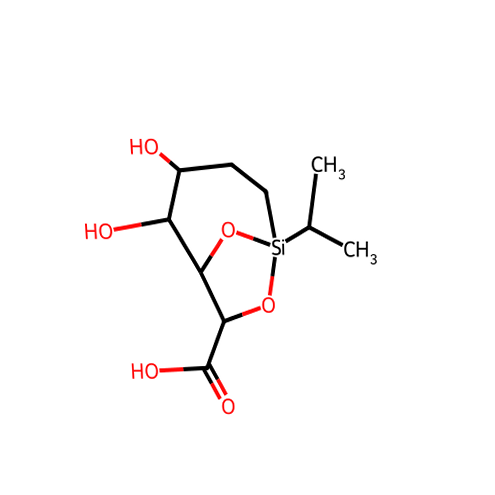 CC(C)[Si]12CCC(O)C(O)C(O1)C(C(=O)O)O2